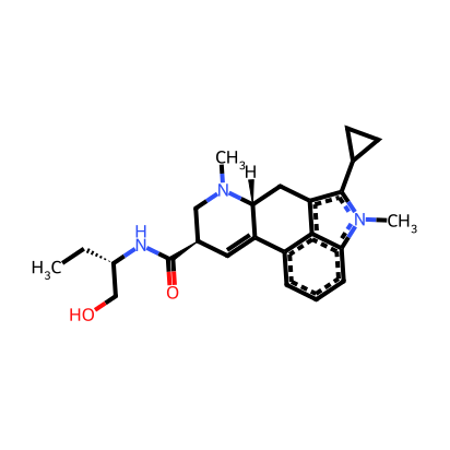 CC[C@@H](CO)NC(=O)[C@@H]1C=C2c3cccc4c3c(c(C3CC3)n4C)C[C@H]2N(C)C1